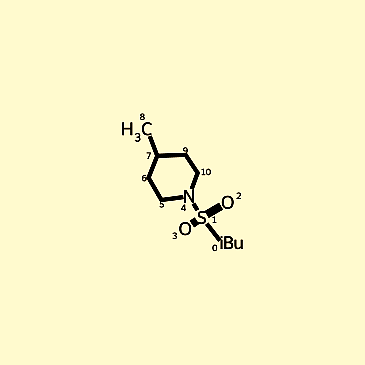 CCC(C)S(=O)(=O)N1CCC(C)CC1